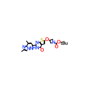 Cc1cn2nc(-c3nc4sc(OC5CN(C(=O)OC(C)(C)C)C5)cc4c(=O)[nH]3)cc(C)c2n1